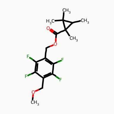 COCc1c(F)c(F)c(COC(=O)C2(C)C(C)C2(C)C)c(F)c1F